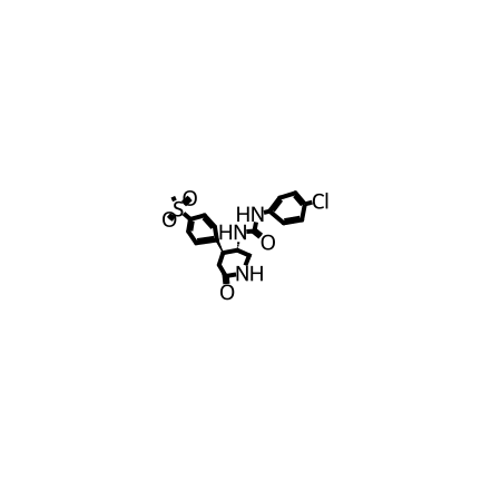 CS(=O)(=O)c1ccc([C@@H]2CC(=O)NC[C@H]2NC(=O)Nc2ccc(Cl)cc2)cc1